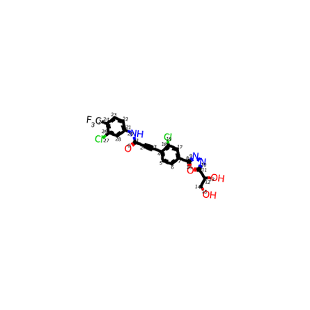 O=C(C#Cc1ccc(-c2nnc(C(O)CO)o2)cc1Cl)Nc1ccc(C(F)(F)F)c(Cl)c1